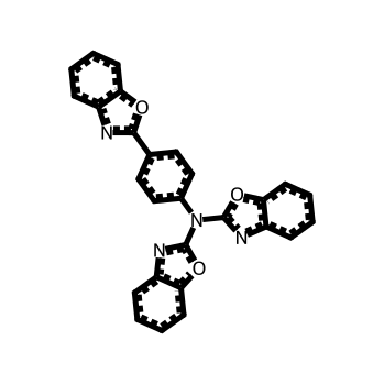 c1ccc2oc(-c3ccc(N(c4nc5ccccc5o4)c4nc5ccccc5o4)cc3)nc2c1